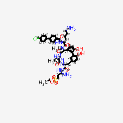 CCOS(=O)(=O)/C=C/[C@H](N)NC(=O)[C@@H]1Cc2ccc(O)c(c2)-c2cc(ccc2O)[C@H](N(C)C(=O)[C@H](CCCCN)NC(=O)c2ccc(-c3ccc(Cl)cc3)cc2)C(=O)N[C@@H](C)C(=O)N1